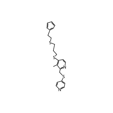 Cc1c(SCCCSCCc2ccccc2)ccnc1CSc1ccncc1